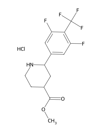 COC(=O)C1CCNC(c2cc(F)c(C(F)(F)F)c(F)c2)C1.Cl